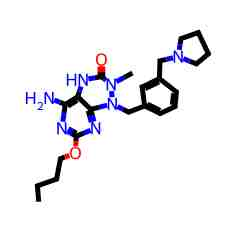 CCCCOc1nc(N)c2c(n1)N(Cc1cccc(CN3CCCC3)c1)N(C)C(=O)N2